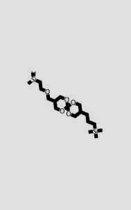 C[SiH](C)CCOCC1COC2(OCC(CCC[Si](C)(C)C)CO2)OC1